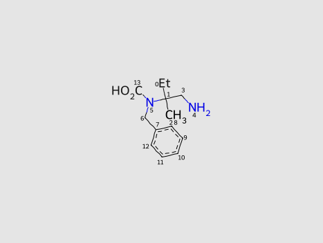 CCC(C)(CN)N(Cc1ccccc1)C(=O)O